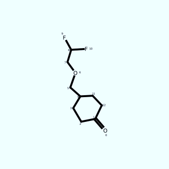 O=C1CCC(COCC(F)F)CC1